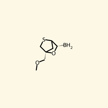 B[C@@H]1O[C@@]2(COC)CSC1C2